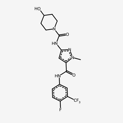 Cn1nc(NC(=O)N2CCC(O)CC2)cc1C(=O)Nc1ccc(F)c(C(F)(F)F)c1